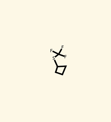 FC(F)(F)S[C]1CCC1